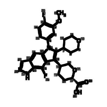 COc1cc(-n2c(C3CCOCC3)c([C@@H]3CC[C@@H](C(=O)O)OC3)c3c(F)c4[nH]ncc4cc32)ccc1F